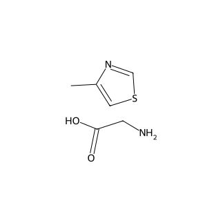 Cc1cscn1.NCC(=O)O